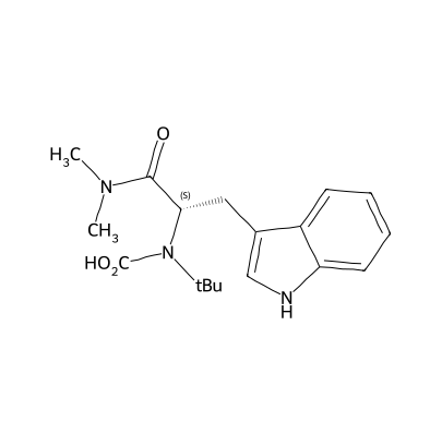 CN(C)C(=O)[C@H](Cc1c[nH]c2ccccc12)N(C(=O)O)C(C)(C)C